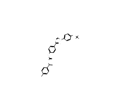 Cc1ccc(C(C)OC(=O)Nc2ccc(-c3ncn(-c4ccc(OC(F)(F)F)cc4)n3)cc2)cc1